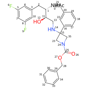 CC(=O)N[C@@H](Cc1cc(F)cc(F)c1)[C@H](O)CNC1(c2cccc(C(C)C)c2)CN(C(=O)OCc2ccccc2)C1